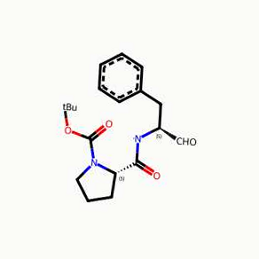 CC(C)(C)OC(=O)N1CCC[C@H]1C(=O)[N][C@H](C=O)Cc1ccccc1